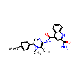 C=N/C(NC(=O)c1cc(C(N)=O)nc2ccccc12)=C(/C)N(C)Cc1ccc(OC)cc1